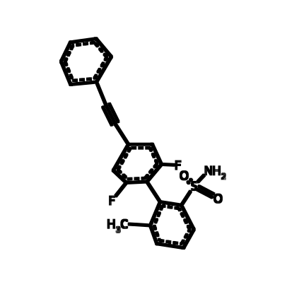 Cc1cccc(S(N)(=O)=O)c1-c1c(F)cc(C#Cc2ccccc2)cc1F